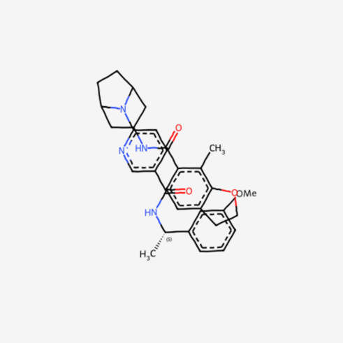 COc1cccc([C@H](C)NC(=O)c2ccc(N3C4CCC3CC(NC(=O)c3ccc5c(c3C)OCC5)C4)nc2)c1